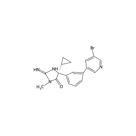 CN1C(=N)N[C@](c2cccc(-c3cncc(Br)c3)c2)(C2CC2)C1=O